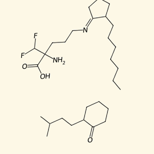 CC(C)CCC1CCCCC1=O.CCCCCCCC1CCCC1=NCCCC(N)(C(=O)O)C(F)F